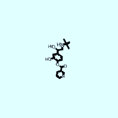 CC(C)(C)NCC(O)c1ccc(OC(=O)c2cccnc2)c(O)c1